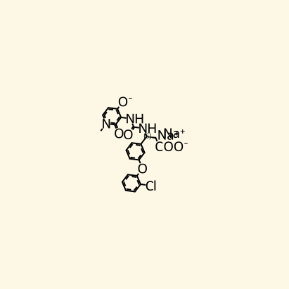 Cn1ccc([O-])c(NC(=O)N[C@@H](CC(=O)[O-])c2cccc(Oc3ccccc3Cl)c2)c1=O.[Na+].[Na+]